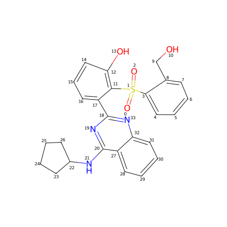 O=S(=O)(c1ccccc1CO)c1c(O)cccc1-c1nc(NC2CCCC2)c2ccccc2n1